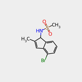 CC1=Cc2c(Br)cccc2C1NS(C)(=O)=O